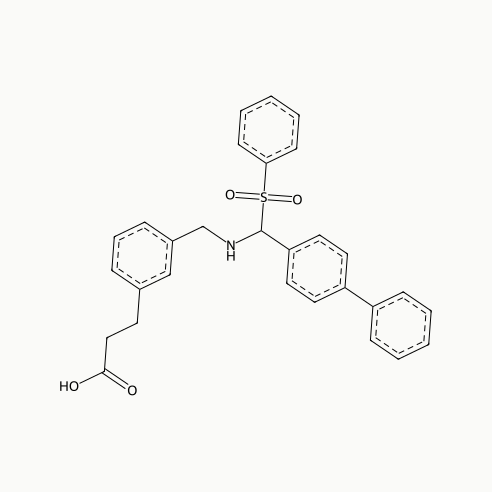 O=C(O)CCc1cccc(CNC(c2ccc(-c3ccccc3)cc2)S(=O)(=O)c2ccccc2)c1